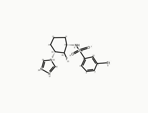 CCc1cccc(S(=O)(=O)N[C@H]2CCC[C@@H](n3cnnc3)C2F)c1